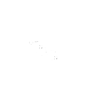 CC(C)C(=O)N1CCC2(CCN(C)CC2)C1